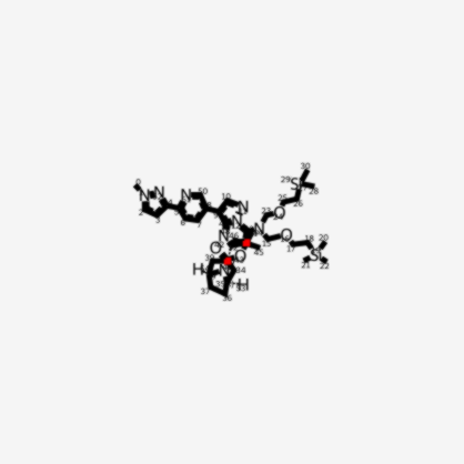 Cn1ccc(-c2ccc(-c3cnn4c(N(COCC[Si](C)(C)C)COCC[Si](C)(C)C)cc([C@@H]5C[C@H]6CC[C@@H](C5)N6C(=O)OC(C)(C)C)nc34)cn2)n1